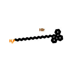 Br.PCCCCCCCCCCCCCCCCCCCCCC(c1ccccc1)(c1ccccc1)c1ccccc1